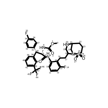 COC(=O)N[C@H](C(=O)Nc1cccc(F)c1CCC1CNC2CCCS(=O)(=O)N1C2)[C@@H](c1ccc(F)cc1)c1cccc(C(F)(F)F)c1